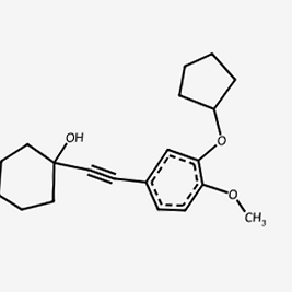 COc1ccc(C#CC2(O)CCCCC2)cc1OC1CCCC1